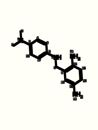 CN(C)c1ccc(NCc2cc(N)ccc2N)cc1